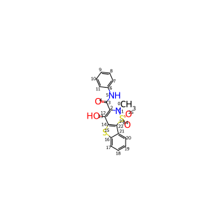 CN1C(C(=O)Nc2ccccc2)=C(O)c2sc3ccccc3c2S1(=O)=O